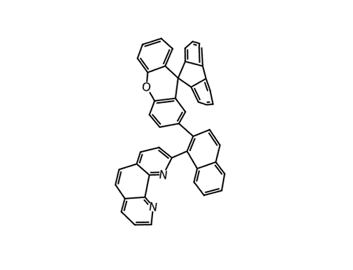 c1ccc2c(c1)Oc1ccc(-c3ccc4ccccc4c3-c3ccc4ccc5cccnc5c4n3)cc1C21c2ccccc2-c2ccccc21